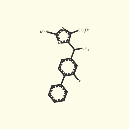 CCOC(=O)c1sc(NC)nc1C(C)c1ccc(-c2ccccc2)c(F)c1